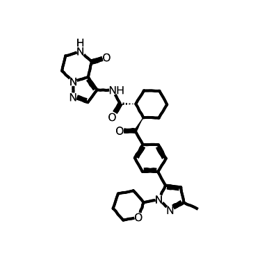 Cc1cc(-c2ccc(C(=O)[C@@H]3CCCC[C@H]3C(=O)Nc3cnn4c3C(=O)NCC4)cc2)n(C2CCCCO2)n1